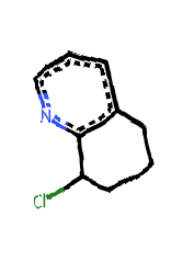 ClC1CCCc2cccnc21